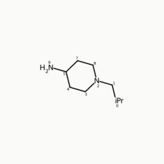 CC(C)CN1CCC(N)CC1